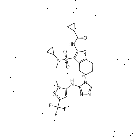 CN(C1CC1)S(=O)(=O)c1c(NC(=O)C2CC2)sc2c1C[C@@H](n1cnnc1Nc1cc(C(F)(F)F)nn1C)CC2